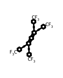 FC(F)(F)c1ccc(C#Cc2cc3c(cc2C#Cc2ccc(C(F)(F)F)cc2)c2cc4c5cc(C#Cc6ccc(C(F)(F)F)cc6)c(C#Cc6ccc(C(F)(F)F)cc6)cc5c4cc32)cc1